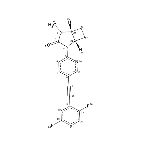 CN1C(=O)N(c2ccc(C#Cc3cc(F)ccc3F)cn2)[C@H]2CC[C@H]21